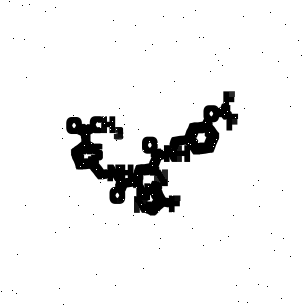 CC(=O)c1ccc(CNC(=O)c2cc(C(=O)NCc3cccc(OC(F)F)c3)nc3c(F)cnn23)s1